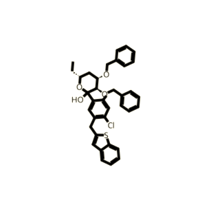 CC[C@@H]1C[C@H](OCc2ccccc2)[C@@H](OCc2ccccc2)C(O)(c2cc(Cc3cc4ccccc4s3)c(Cl)cc2C)O1